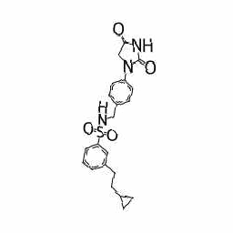 O=C1CN(c2ccc(CNS(=O)(=O)c3cccc(CCC4CC4)c3)cc2)C(=O)N1